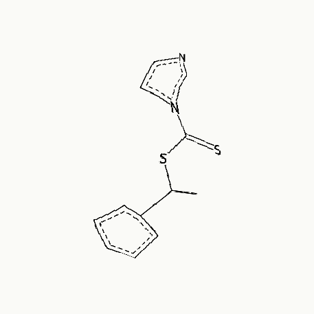 CC(SC(=S)n1ccnc1)c1ccccc1